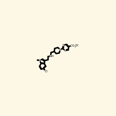 CCOC(=O)c1cnc(N2CCC(CNCCc3cn(C)c4ccc(Cl)cc34)CC2)nc1